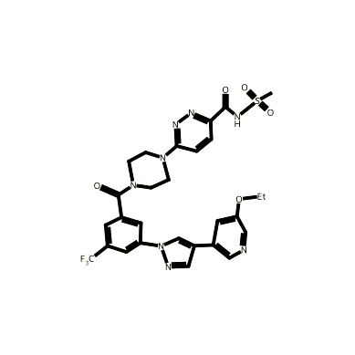 CCOc1cncc(-c2cnn(-c3cc(C(=O)N4CCN(c5ccc(C(=O)NS(C)(=O)=O)nn5)CC4)cc(C(F)(F)F)c3)c2)c1